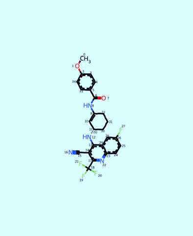 COc1ccc(C(=O)NC2=C[C@@H](Nc3c(C#N)c(C(F)(F)F)nc4ccc(F)cc34)CCC2)cc1